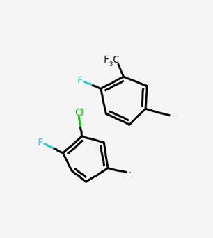 [CH2]c1ccc(F)c(C(F)(F)F)c1.[CH2]c1ccc(F)c(Cl)c1